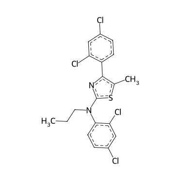 CCCN(c1nc(-c2ccc(Cl)cc2Cl)c(C)s1)c1ccc(Cl)cc1Cl